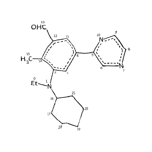 CCN(c1cc(-c2cnccn2)cc(C=O)c1C)C1CCCCC1